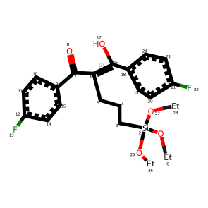 CCO[Si](CCC/C(C(=O)c1ccc(F)cc1)=C(/O)c1ccc(F)cc1)(OCC)OCC